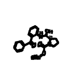 CC(C)(C)OC(=O)N1CCC[C@@H]1C(O)Nc1ccccc1C(=O)c1ccccc1